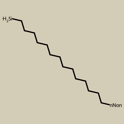 CCCCCCCCCCCCCCCCCCCCCCC[SiH2]